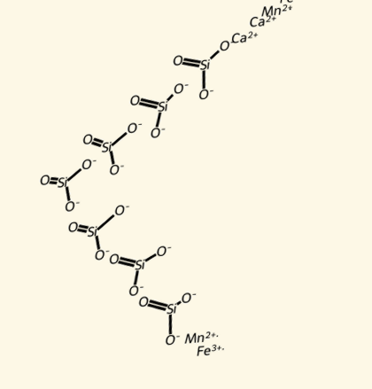 O=[Si]([O-])[O-].O=[Si]([O-])[O-].O=[Si]([O-])[O-].O=[Si]([O-])[O-].O=[Si]([O-])[O-].O=[Si]([O-])[O-].O=[Si]([O-])[O-].[Ca+2].[Ca+2].[Fe+3].[Fe+3].[Mn+2].[Mn+2]